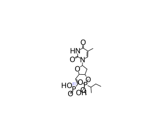 CCC(C)P(=O)(OC)OC1CC(n2cc(C)c(=O)[nH]c2=O)OC1/C=C/P(=O)(O)O